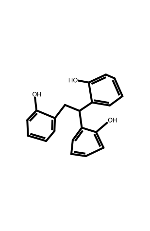 Oc1ccccc1CC(c1ccccc1O)c1ccccc1O